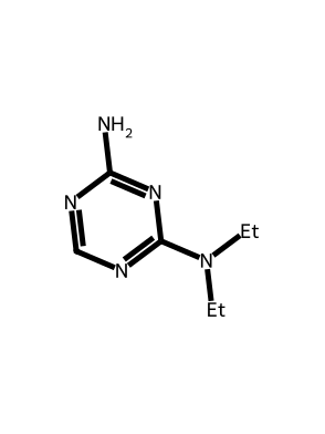 CCN(CC)c1ncnc(N)n1